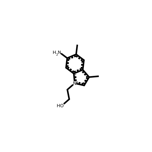 Cc1cc2c(C)cn(CCO)c2cc1N